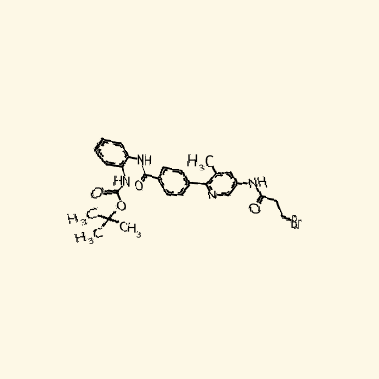 Cc1cc(NC(=O)CCBr)cnc1-c1ccc(C(=O)Nc2ccccc2NC(=O)OC(C)(C)C)cc1